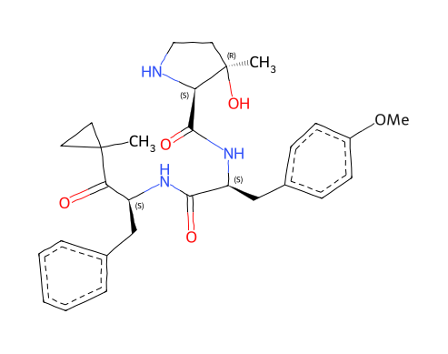 COc1ccc(C[C@H](NC(=O)[C@H]2NCC[C@@]2(C)O)C(=O)N[C@@H](Cc2ccccc2)C(=O)C2(C)CC2)cc1